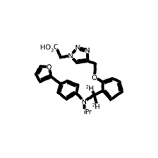 [2H]C([2H])(c1ccccc1OCc1cn(CC(=O)O)nn1)N(c1ccc(-c2ccco2)cc1)C(C)C